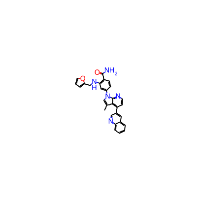 Cc1cn(-c2ccc(C(N)=O)c(NCc3ccco3)c2)c2nccc(-c3cnc4ccccc4c3)c12